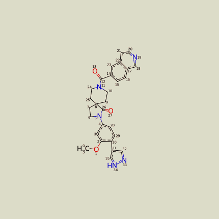 COc1cc(N2CCC3(CCN(C(=O)c4ccc5cnccc5c4)CC3)C2=O)ccc1-c1cn[nH]c1